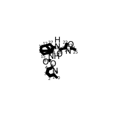 Cc1cccc(OC(=O)NC23CC4CC(C2)CC(NC(=O)c2coc(C)n2)(C4)C3)n1